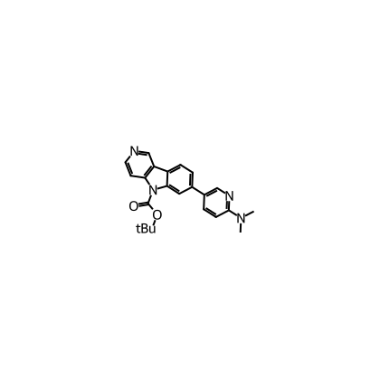 CN(C)c1ccc(-c2ccc3c4cnccc4n(C(=O)OC(C)(C)C)c3c2)cn1